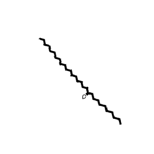 CCCCCCCCCCCCCCCCCCC(=O)CCCCCCCCCC